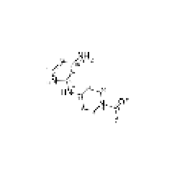 CC(=O)N1CCC(Nc2cc(N)ccn2)CC1